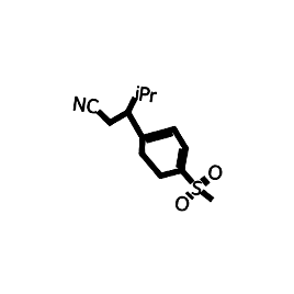 CC(C)C(CC#N)C1=CC=C(S(C)(=O)=O)CC1